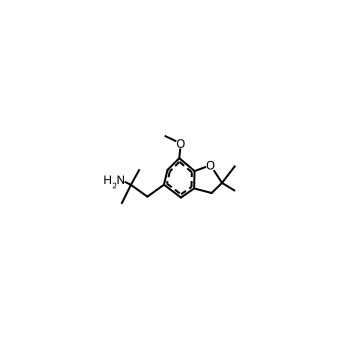 COc1cc(CC(C)(C)N)cc2c1OC(C)(C)C2